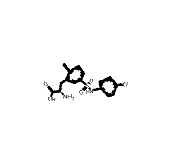 Cc1ccc(S(=O)(=O)Nc2ccc(Cl)cc2)cc1C[C@@H](N)C(=O)O